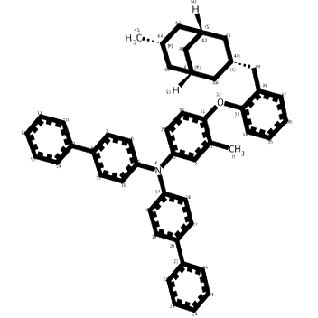 Cc1cc(N(c2ccc(-c3ccccc3)cc2)c2ccc(-c3ccccc3)cc2)ccc1Oc1ccccc1C[C@H]1C[C@H]2C[C@@H](C)C[C@@H](C1)C2